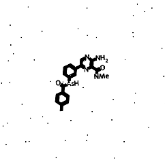 CNC(=O)c1nc(-c2cccc([AsH]C(=O)c3ccc(C)cc3)c2)cnc1N